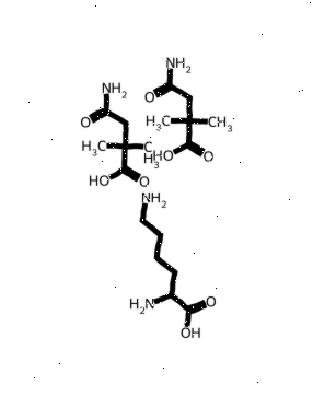 CC(C)(CC(N)=O)C(=O)O.CC(C)(CC(N)=O)C(=O)O.NCCCCC(N)C(=O)O